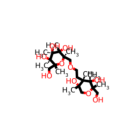 CC1(O)[C@@](C)(COCC[C@@]2(C)C(C)(O)COC(C)(CO)[C@@]2(C)O)OC(C)(CO)[C@@](C)(O)[C@@]1(C)O